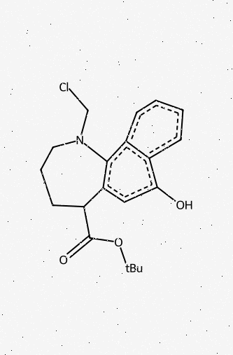 CC(C)(C)OC(=O)C1CCCN(CCl)c2c1cc(O)c1ccccc21